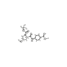 COC(=O)c1ccc(NC(=O)[C@H]2C[C@@H](OC)CN2C(=O)OC(C)(C)C)cc1